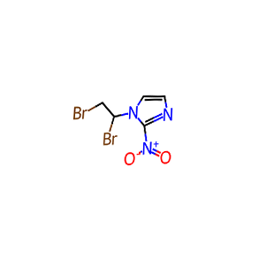 O=[N+]([O-])c1nccn1C(Br)CBr